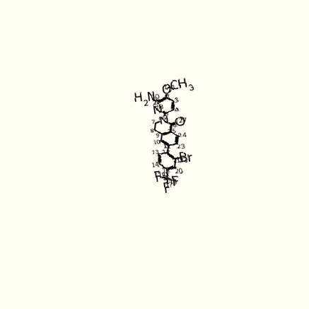 COc1ccc(N2CCc3cc(-c4ccc(C(F)(F)F)cc4Br)ccc3C2=O)nc1N